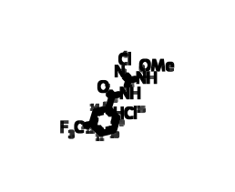 CONC(=NCl)NC(=O)c1cccc(C(F)(F)F)c1.Cl